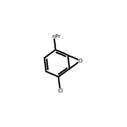 CCCc1ccc(Cl)c2c1O2